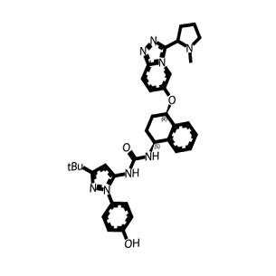 CN1CCCC1c1nnc2ccc(O[C@@H]3CC[C@H](NC(=O)Nc4cc(C(C)(C)C)nn4-c4ccc(O)cc4)c4ccccc43)cn12